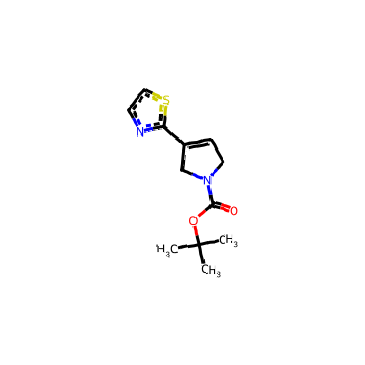 CC(C)(C)OC(=O)N1CC=C(c2nccs2)C1